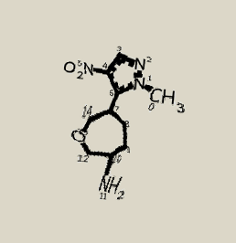 Cn1ncc([N+](=O)[O-])c1C1CCC(N)COC1